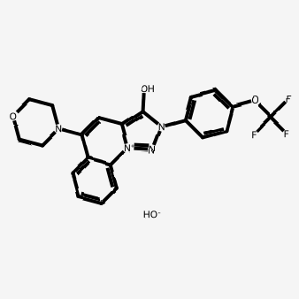 Oc1c2cc(N3CCOCC3)c3ccccc3[n+]2nn1-c1ccc(OC(F)(F)F)cc1.[OH-]